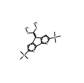 CCCSC(SCCC)=C1c2c[c]([Sn]([CH3])([CH3])[CH3])sc2-c2s[c]([Sn]([CH3])([CH3])[CH3])cc21